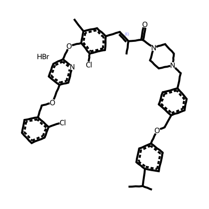 Br.C/C(=C\c1cc(C)c(Oc2ccc(OCc3ccccc3Cl)cn2)c(Cl)c1)C(=O)N1CCN(Cc2ccc(COc3ccc(C(C)C)cc3)cc2)CC1